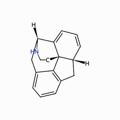 C1=C[C@@H]2Cc3cccc4c3[C@@]23CCN[C@H](C4)C3=C1